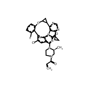 C=CC(=O)N1CCN(c2nc(=O)n3c4nc(c(Cl)cc24)-c2c(F)cccc2OC2CC2c2ncnc(C4CC4)c2-3)[C@@H](C)C1